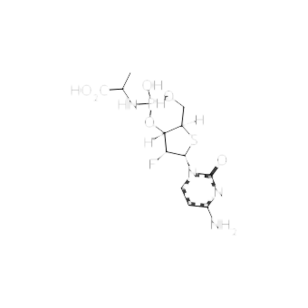 CC(N[PH]1(O)OC[C@H]2S[C@@H](n3ccc(N)nc3=O)[C@@H](F)[C@@H]2O1)C(=O)O